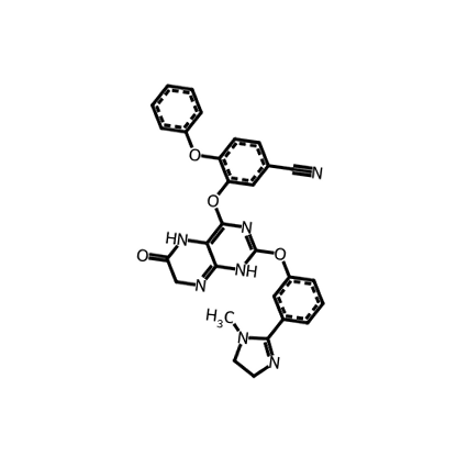 CN1CCN=C1c1cccc(OC2=NC(Oc3cc(C#N)ccc3Oc3ccccc3)=C3NC(=O)CN=C3N2)c1